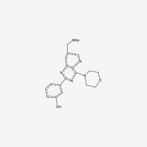 CNCc1cnc2c(N3CCOCC3)nc(-c3cccc(O)c3)nc2c1